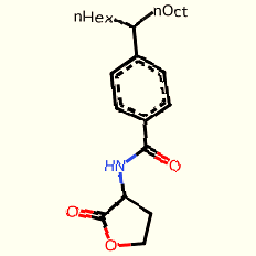 CCCCCCCCC(CCCCCC)c1ccc(C(=O)NC2CCOC2=O)cc1